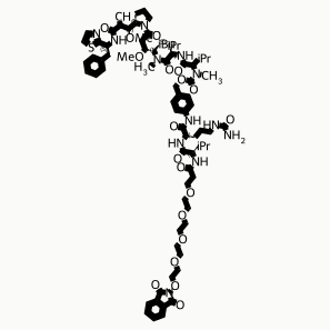 CC[C@H](C)[C@@H](C(CC(=O)N1CCC[C@H]1[C@H](OC)C(C)C(=O)N[C@@H](Cc1ccccc1)c1nccs1)OC)N(C)C(=O)[C@@H](NC(=O)C(C(C)C)N(C)C(=O)OCc1ccc(NC(=O)[C@H](CCCNC(N)=O)NC(=O)[C@@H](NC(=O)CCOCCOCCOCCOCCON2C(=O)c3ccccc3C2=O)C(C)C)cc1)C(C)C